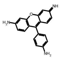 N=c1ccc2c(-c3ccc(N)cc3)c3ccc(N)cc3oc-2c1